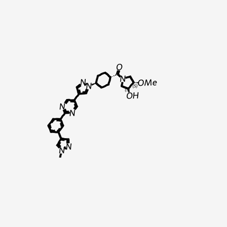 CO[C@H]1CN(C(=O)[C@H]2CC[C@H](n3cc(-c4cnc(-c5cccc(-c6cnn(C)c6)c5)nc4)cn3)CC2)C[C@@H]1O